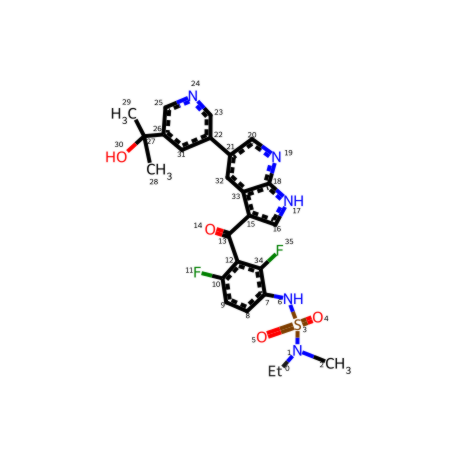 CCN(C)S(=O)(=O)Nc1ccc(F)c(C(=O)c2c[nH]c3ncc(-c4cncc(C(C)(C)O)c4)cc23)c1F